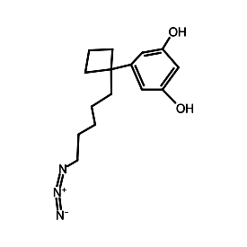 [N-]=[N+]=NCCCCCC1(c2cc(O)cc(O)c2)CCC1